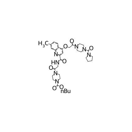 CCCCOC(=O)N1CCN(C(=O)CNC(=O)c2cc(OCC(=O)N3CCN(C(=O)N4CCCC4)CC3)c3ccc(C)cc3n2)CC1